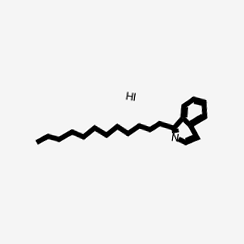 CCCCCCCCCCCCc1nccc2ccccc12.I